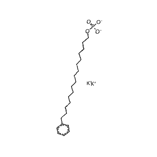 O=P([O-])([O-])OCCCCCCCCCCCCCCCCc1ccccc1.[K+].[K+]